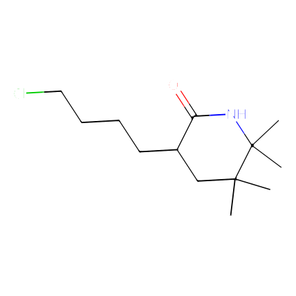 CC1(C)CC(CCCCCl)C(=O)NC1(C)C